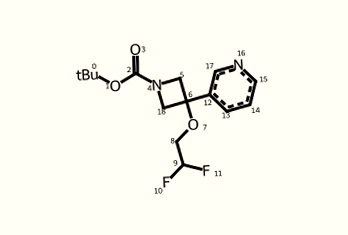 CC(C)(C)OC(=O)N1CC(OCC(F)F)(c2cccnc2)C1